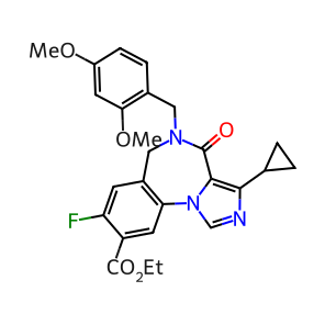 CCOC(=O)c1cc2c(cc1F)CN(Cc1ccc(OC)cc1OC)C(=O)c1c(C3CC3)ncn1-2